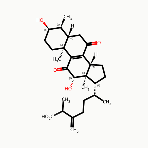 C=C(CCC(C)[C@H]1CC[C@H]2C3=C(C(=O)[C@@H](O)[C@]12C)[C@@]1(C)CC[C@@H](O)[C@@H](C)[C@@H]1CC3=O)C(C)C(=O)O